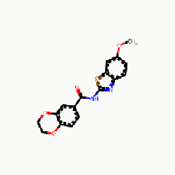 COc1ccc2nc(NC(=O)c3ccc4c(c3)OCCO4)sc2c1